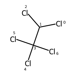 ClC(Cl)C(Cl)(Cl)Cl